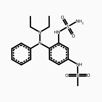 CCN(CC)N(c1ccccc1)c1ccc(NS(C)(=O)=O)cc1NS(N)(=O)=O